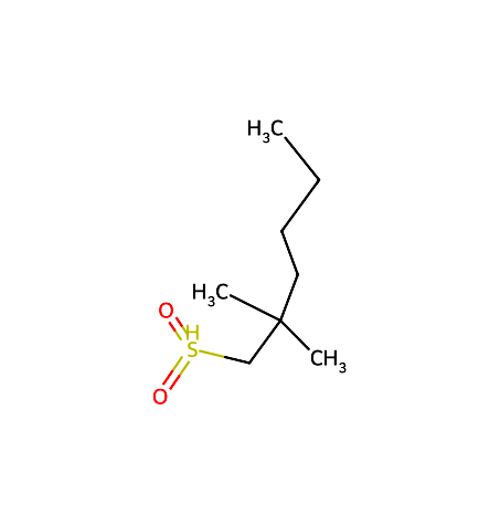 CCCCC(C)(C)C[SH](=O)=O